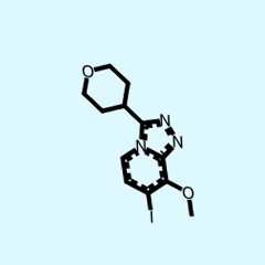 COc1c(I)ccn2c(C3CCOCC3)nnc12